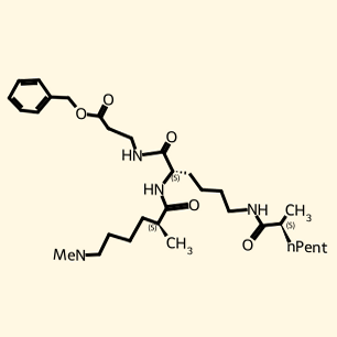 CCCCC[C@H](C)C(=O)NCCCC[C@H](NC(=O)[C@@H](C)CCCCNC)C(=O)NCCC(=O)OCc1ccccc1